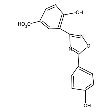 O=C(O)c1ccc(O)c(-c2noc(-c3ccc(O)cc3)n2)c1